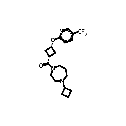 O=C([C@H]1C[C@@H](Oc2ccc(C(F)(F)F)cn2)C1)N1CCCN(C2CCC2)CC1